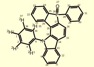 [2H]c1c([2H])c([2H])c(-n2c3ccccc3c3ccc4c(c32)-c2ccccc2P4(=O)c2ccccc2)c([2H])c1[2H]